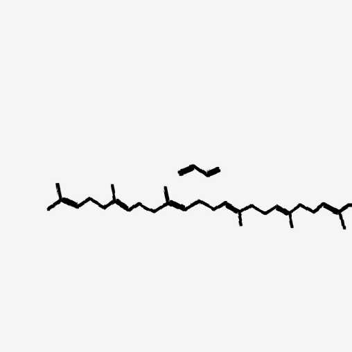 C=CC=C.CC(C)=CCC/C(C)=C/CC/C(C)=C/CC/C=C(\C)CC/C=C(\C)CCC=C(C)C